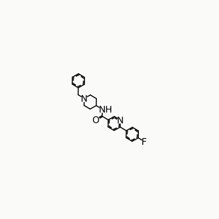 O=C(NC1CCN(Cc2ccccc2)CC1)c1ccc(-c2ccc(F)cc2)nc1